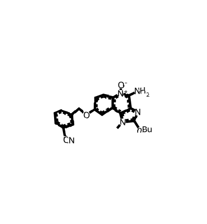 CCCCc1nc2c(N)[n+]([O-])c3ccc(OCc4cccc(C#N)c4)cc3c2n1C